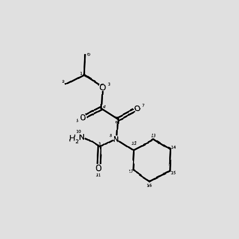 CC(C)OC(=O)C(=O)N(C(N)=O)C1CCCCC1